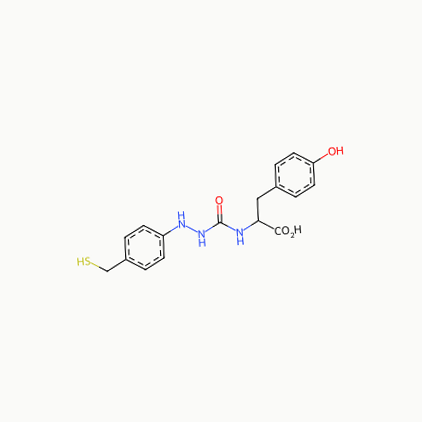 O=C(NNc1ccc(CS)cc1)NC(Cc1ccc(O)cc1)C(=O)O